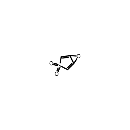 O=S1(=O)C=C2OC2=C1